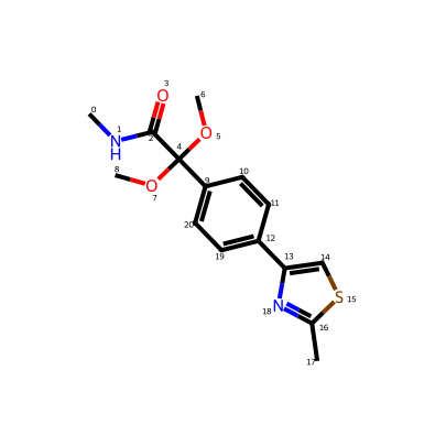 CNC(=O)C(OC)(OC)c1ccc(-c2csc(C)n2)cc1